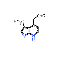 O=CCc1cc[nH]c2ncc(C(=O)O)c1-2